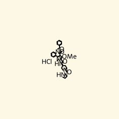 COc1c(C(=O)NC2CCN(C(=O)[C@@H]3CCCN3)CC2)n(C)c2c1c(=O)n(CC(=O)c1ccccc1)c1ccccc21.Cl